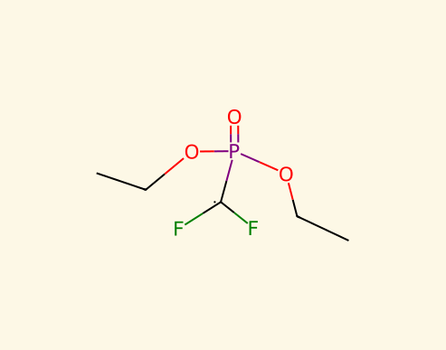 CCOP(=O)(OCC)[C](F)F